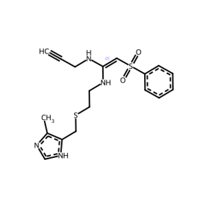 C#CCN/C(=C/S(=O)(=O)c1ccccc1)NCCSCc1[nH]cnc1C